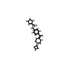 CC(=C1CCN(C2CCC2)CC1)c1ccc(CNC2CCCC2)cc1